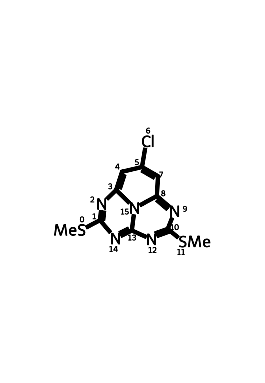 CSC1=NC2=CC(Cl)=CC3=NC(SC)=NC(=N1)N23